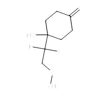 COCC(F)(F)C1(O)CCC(=O)CC1